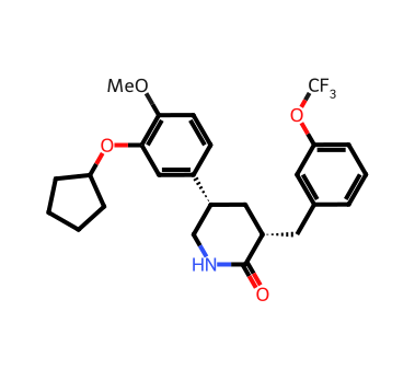 COc1ccc([C@H]2CNC(=O)[C@@H](Cc3cccc(OC(F)(F)F)c3)C2)cc1OC1CCCC1